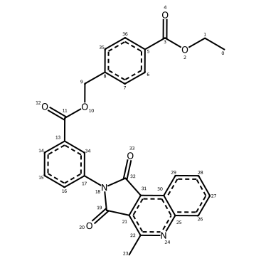 CCOC(=O)c1ccc(COC(=O)c2cccc(N3C(=O)c4c(C)nc5ccccc5c4C3=O)c2)cc1